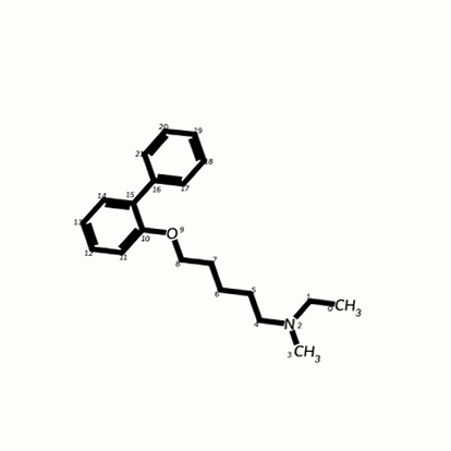 CCN(C)CCCCCOc1ccccc1-c1ccccc1